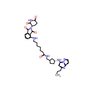 CCCc1cc(N[C@@H]2CCC(CNC(=O)CCCCCCNc3cccc4c3C(=O)N(C3CCC(=O)NC3=O)C4=O)C2)n2nccc2n1